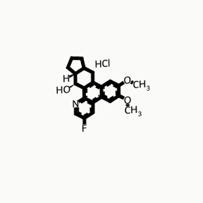 COc1cc2c3c(c4ncc(F)cc4c2cc1OC)[C@H](O)[C@@H]1CCCC1C3.Cl